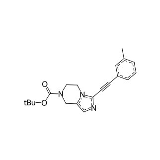 Cc1cccc(C#Cc2ncc3n2CCN(C(=O)OC(C)(C)C)C3)c1